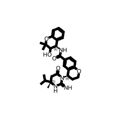 CC(C)[C@]1(C)CC(=O)N([C@@H]2CCOc3ccc(C(=O)N[C@@H]4c5ccccc5OC(C)(C)C4O)cc32)C(=N)N1